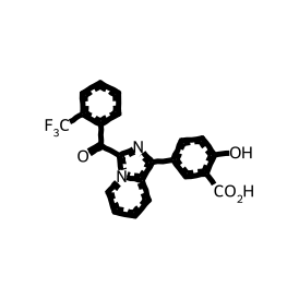 O=C(O)c1cc(-c2nc(C(=O)c3ccccc3C(F)(F)F)n3ccccc23)ccc1O